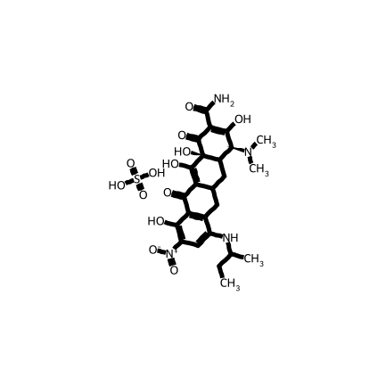 CCC(C)Nc1cc([N+](=O)[O-])c(O)c2c1CC1CC3[C@H](N(C)C)C(O)=C(C(N)=O)C(=O)[C@@]3(O)C(O)=C1C2=O.O=S(=O)(O)O